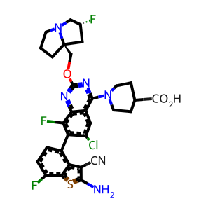 N#Cc1c(N)sc2c(F)ccc(-c3c(Cl)cc4c(N5CCC(C(=O)O)CC5)nc(OC[C@@]56CCCN5C[C@H](F)C6)nc4c3F)c12